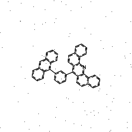 c1cc(-c2c3ccccc3cc3ccccc23)cc(-c2c3ccc4ccccc4c3nc3c2ccc2ccccc23)c1